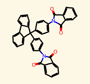 O=C1c2ccccc2C(=O)N1c1ccc(C2(c3ccc(N4C(=O)c5ccccc5C4=O)cc3)c3ccccc3-c3ccccc32)cc1